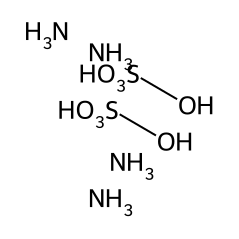 N.N.N.N.O=S(=O)(O)O.O=S(=O)(O)O